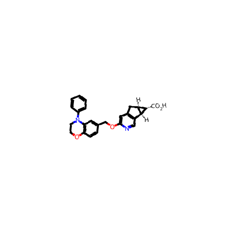 O=C(O)[C@H]1[C@@H]2Cc3cc(OCc4ccc5c(c4)N(c4ccccc4)CCO5)ncc3[C@@H]21